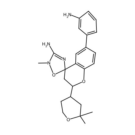 CN1OC2(CC(C3CCOC(C)(C)C3)Oc3ccc(-c4cccc(N)c4)cc32)N=C1N